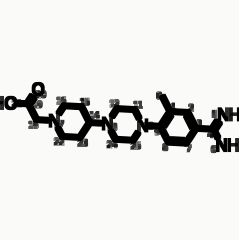 Cc1cc(C(=N)N)ccc1N1CCN(C2CCN(CC(=O)O)CC2)CC1